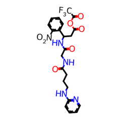 O=C(CCCNc1ccccn1)NCC(=O)NC(CC(=O)OC(=O)C(F)(F)F)c1ccccc1[N+](=O)[O-]